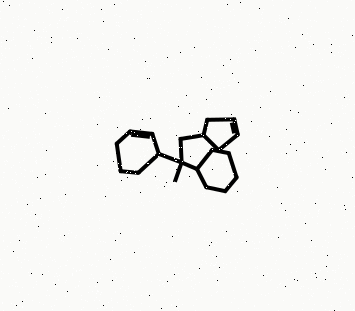 CC(CC1CC=CC1)(C1C=CCCC1)C1CCCCC1